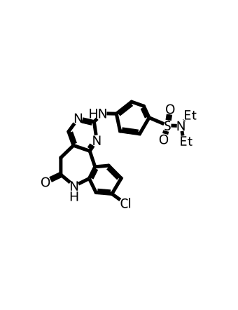 CCN(CC)S(=O)(=O)c1ccc(Nc2ncc3c(n2)-c2ccc(Cl)cc2NC(=O)C3)cc1